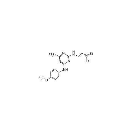 CCN(CC)CCNc1nc(Nc2ccc(OC(F)(F)F)cc2)nc(C(Cl)(Cl)Cl)n1